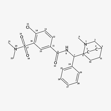 CN1CC2CCC1(C(NC(=O)c1ccc(Cl)c(S(=O)(=O)N(C)C)c1)c1ccccc1)CC2